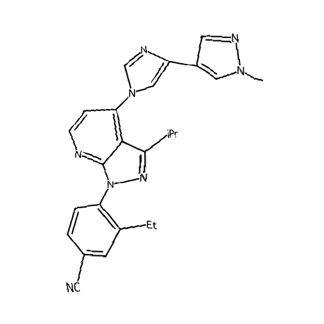 CCc1cc(C#N)ccc1-n1nc(C(C)C)c2c(-n3cnc(-c4cnn(C)c4)c3)ccnc21